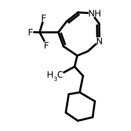 CC(CC1CCCCC1)C1/C=C(C(F)(F)F)\C=C/N/C=N\C1